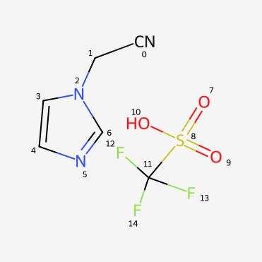 N#CCn1ccnc1.O=S(=O)(O)C(F)(F)F